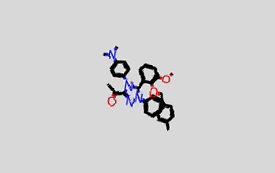 COc1cccc(C2N(c3ccccc3)N=C(C(C)=O)N2c2ccc(N(C)C)cc2)c1OCc1ccc(C)cc1